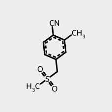 Cc1cc(CS(C)(=O)=O)ccc1C#N